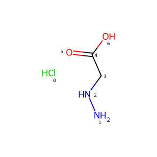 Cl.NNCC(=O)O